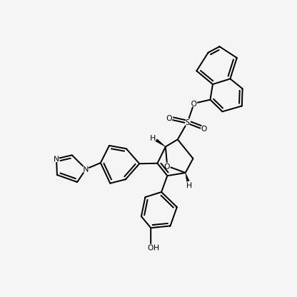 O=S(=O)(Oc1cccc2ccccc12)C1C[C@H]2O[C@@H]1C(c1ccc(-n3ccnc3)cc1)=C2c1ccc(O)cc1